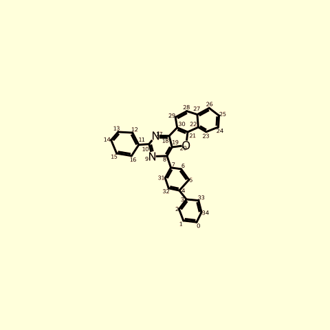 c1ccc(-c2ccc(-c3nc(-c4ccccc4)nc4c3oc3c5ccccc5ccc43)cc2)cc1